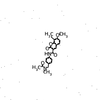 CCc1c(OC)ccc2cc(C(=O)Nc3ccc(CN(C)C(C)=O)cc3)c(=O)oc12